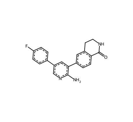 Nc1ncc(-c2ccc(F)cc2)cc1-c1ccc2c(c1)CCNC2=O